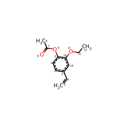 C=Cc1ccc(OC(C)=O)c(OCC)c1